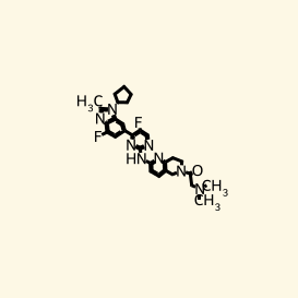 Cc1nc2c(F)cc(-c3nc(Nc4ccc5c(n4)CCN(C(=O)CN(C)C)C5)ncc3F)cc2n1C1CCCC1